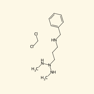 CNN(CCCNCc1ccccc1)NC.ClCCl